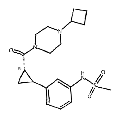 CS(=O)(=O)Nc1cccc(C2C[C@@H]2C(=O)N2CCN(C3CCC3)CC2)c1